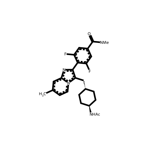 CNC(=O)c1cc(F)c(-c2nc3cc(C)ccn3c2C[C@H]2CC[C@H](NC(C)=O)CC2)c(F)c1